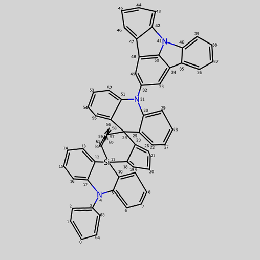 c1ccc(N2c3ccccc3[Si]3(c4ccccc42)c2ccccc2C2(c4ccccc4N(c4cc5c6ccccc6n6c7ccccc7c(c4)c56)c4ccccc42)c2ccccc23)cc1